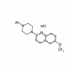 CC(C)N1CCN(c2ccc3cc(OC(F)(F)F)ccc3n2)CC1.Cl